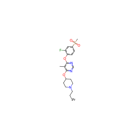 Cc1c(Oc2ccc(S(C)(=O)=O)cc2F)ncnc1OC1CCN(CCC(C)C)CC1